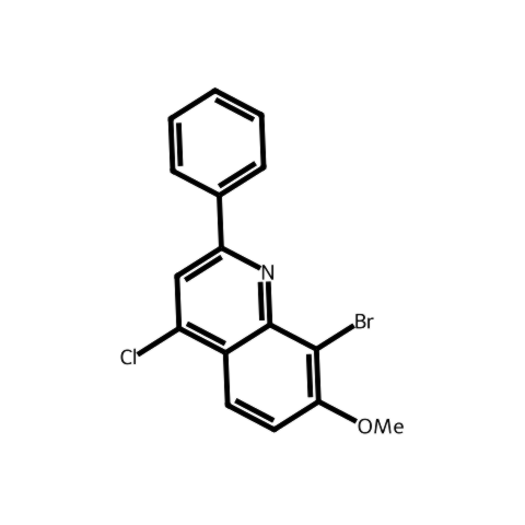 COc1ccc2c(Cl)cc(-c3ccccc3)nc2c1Br